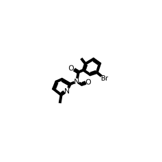 Cc1cccc(N(C=O)C(=O)c2cc(Br)ccc2C)n1